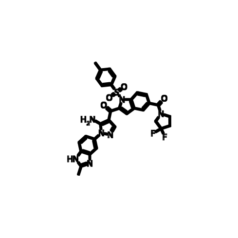 Cc1ccc(S(=O)(=O)n2c(C(=O)c3cnn(-c4ccc5[nH]c(C)nc5c4)c3N)cc3cc(C(=O)N4CCC(F)(F)C4)ccc32)cc1